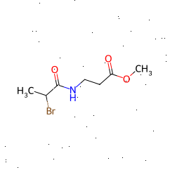 COC(=O)CCNC(=O)C(C)Br